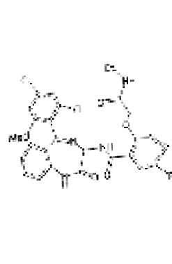 CCNC(=O)COc1ncc(F)cc1C(=O)NC1N=C(c2c(Cl)cc(Cl)cc2OC)c2ccccc2NC1=O